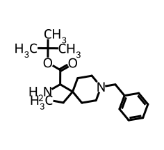 CCC1(C(N)C(=O)OC(C)(C)C)CCN(Cc2ccccc2)CC1